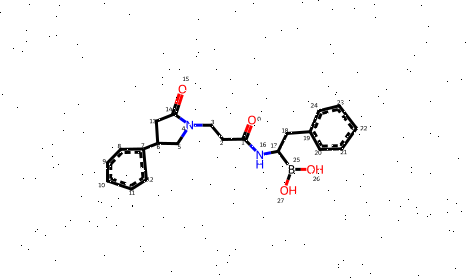 O=C(CCN1CC(c2ccccc2)CC1=O)NC(Cc1ccccc1)B(O)O